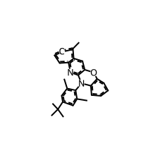 Cc1cc(C(C)(C)C)cc(C)c1N1c2ccccc2Oc2cc3c(C)cccc3nc21